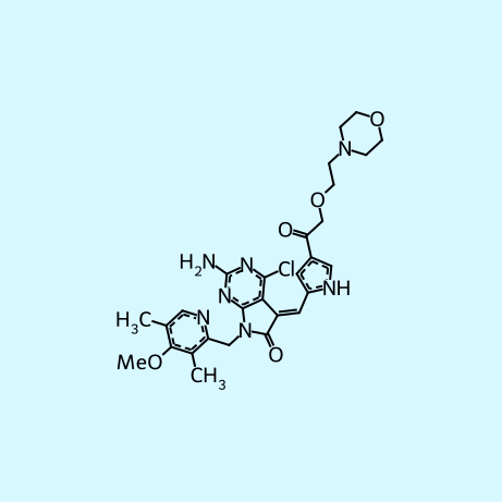 COc1c(C)cnc(CN2C(=O)/C(=C/c3cc(C(=O)COCCN4CCOCC4)c[nH]3)c3c(Cl)nc(N)nc32)c1C